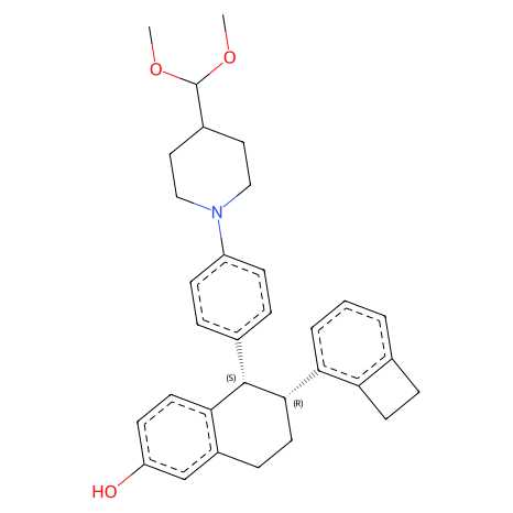 COC(OC)C1CCN(c2ccc([C@H]3c4ccc(O)cc4CC[C@H]3c3cccc4c3CC4)cc2)CC1